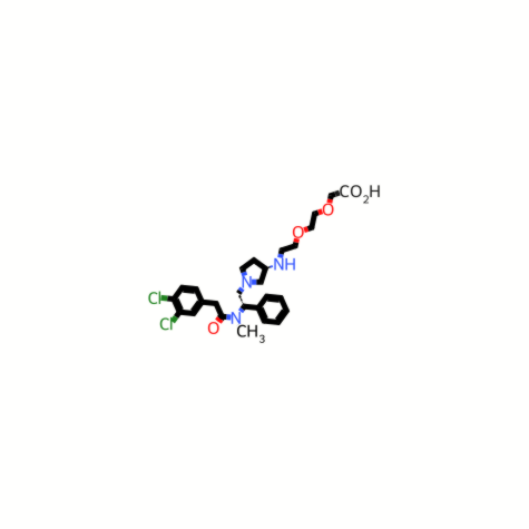 CN(C(=O)Cc1ccc(Cl)c(Cl)c1)[C@H](CN1CC[C@H](NCCOCCOCC(=O)O)C1)c1ccccc1